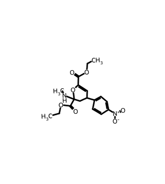 CCOC(=O)C1=CC(c2ccc([N+](=O)[O-])cc2)CC(NC)(C(=O)OCC)O1